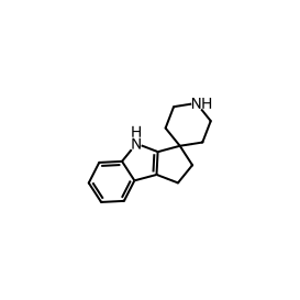 c1ccc2c3c([nH]c2c1)C1(CCNCC1)CC3